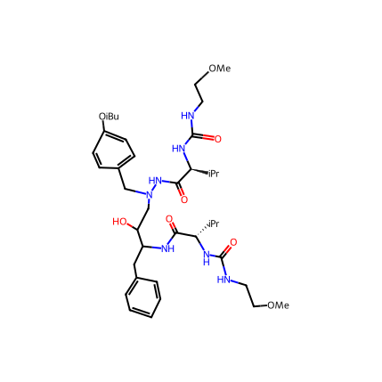 COCCNC(=O)N[C@H](C(=O)NC(Cc1ccccc1)C(O)CN(Cc1ccc(OCC(C)C)cc1)NC(=O)[C@@H](NC(=O)NCCOC)C(C)C)C(C)C